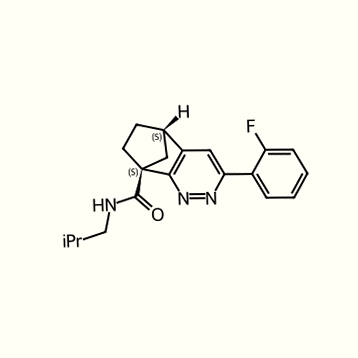 CC(C)CNC(=O)[C@@]12CC[C@@H](C1)c1cc(-c3ccccc3F)nnc12